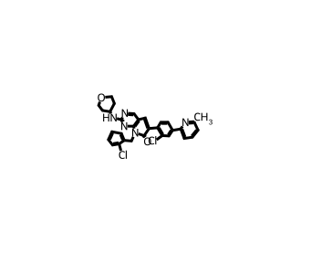 Cc1cccc(-c2ccc(-c3cc4cnc(NC5CCOCC5)nc4n(Cc4ccccc4Cl)c3=O)c(Cl)c2)n1